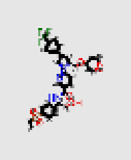 CCS(=O)(=O)c1ccc([C@H](CO)NC(=O)c2ccc(N3CC(c4ccc(C(F)(F)F)cc4)C[C@H]3COC3CCOCC3)nc2)cc1